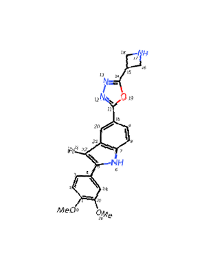 COc1ccc(-c2[nH]c3ccc(-c4nnc(C5CNC5)o4)cc3c2C(C)C)cc1OC